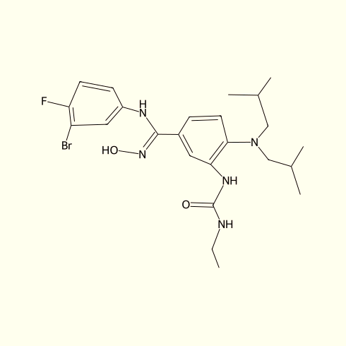 CCNC(=O)Nc1cc(C(=NO)Nc2ccc(F)c(Br)c2)ccc1N(CC(C)C)CC(C)C